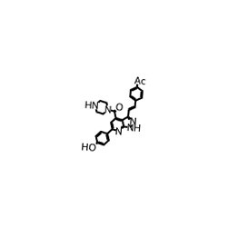 CC(=O)c1ccc(/C=C/c2n[nH]c3nc(-c4ccc(O)cc4)cc(C(=O)N4CCNCC4)c23)cc1